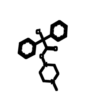 CN1CCN(OC(=O)C(Cl)(c2ccccc2)c2ccccc2)CC1